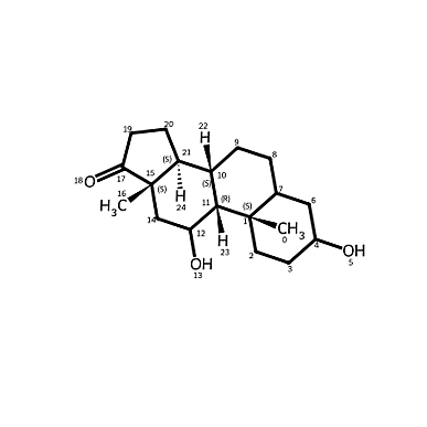 C[C@]12CCC(O)CC1CC[C@@H]1[C@H]2C(O)C[C@]2(C)C(=O)CC[C@@H]12